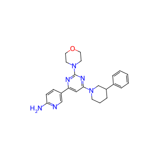 Nc1ccc(-c2cc(N3CCCC(c4ccccc4)C3)nc(N3CCOCC3)n2)cn1